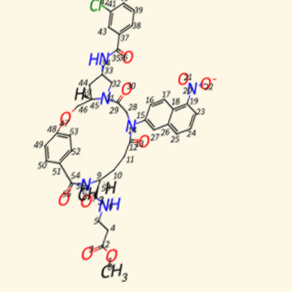 COC(=O)CCNC(=O)[C@@H]1CCC(=O)N(c2ccc3c([N+](=O)[O-])cccc3c2)CC(=O)N2C[C@H](NC(=O)c3cccc(Cl)c3)C[C@H]2COc2ccc(cc2)C(=O)N1C